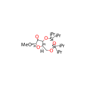 CO[C@@H]1O[C@@H]2CO[Si](C(C)C)(C(C)C)O[Si](C(C)C)(C(C)C)OC2C1=O